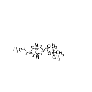 CCC[C@@H]1C[C@@H]2CN(C(=O)OC(C)(C)C)C[C@@H]2C1